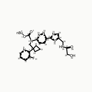 CCCCOC(=O)N(CC1(c2ncccc2F)CCC1)c1ccc(-c2ncc(CNC(=O)CO)s2)nn1